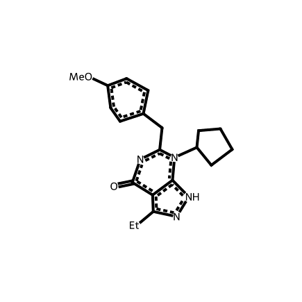 CCc1n[nH]c2c1c(=O)nc(Cc1ccc(OC)cc1)n2C1CCCC1